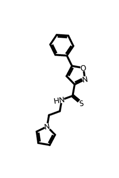 S=C(NCCn1cccc1)c1cc(-c2ccccc2)on1